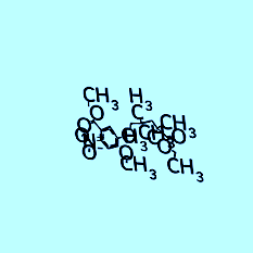 CCOC(=O)c1cc(OCC(C)(C)CC(C)(C)C(=O)OCC)c(OC)cc1[N+](=O)[O-]